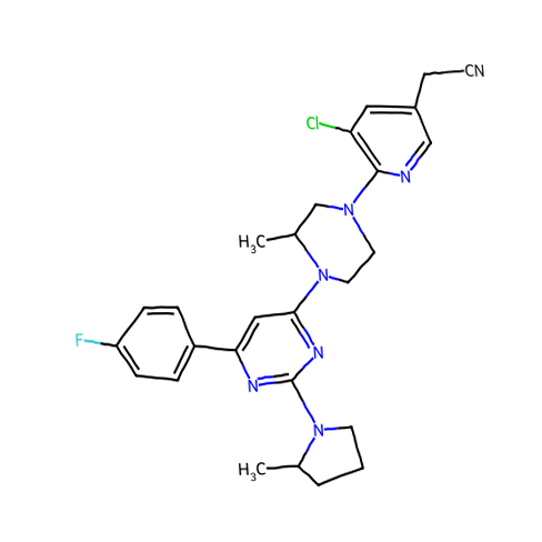 CC1CN(c2ncc(CC#N)cc2Cl)CCN1c1cc(-c2ccc(F)cc2)nc(N2CCCC2C)n1